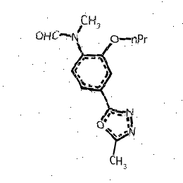 CCCOc1cc(-c2nnc(C)o2)ccc1N(C)C=O